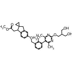 COC(=O)CC1c2ccc(OCc3cccc(-c4c(C)nc(OCC(CO)CO)nc4C)c3C)cc2CC12CC2